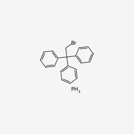 BrCC(c1ccccc1)(c1ccccc1)c1ccccc1.P